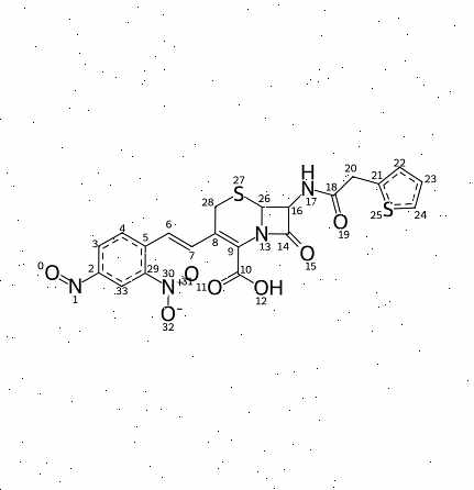 O=Nc1ccc(/C=C/C2=C(C(=O)O)N3C(=O)C(NC(=O)Cc4cccs4)C3SC2)c([N+](=O)[O-])c1